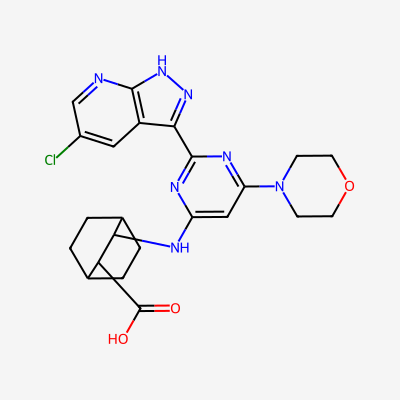 O=C(O)C1C2CCC(CC2)C1Nc1cc(N2CCOCC2)nc(-c2n[nH]c3ncc(Cl)cc23)n1